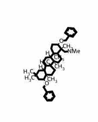 CNC[C@@]1(C)C2CC[C@]3(C)[C@H](CC=C4[C@H]5CC(C)(C)C[C@@H](OCc6ccccc6)[C@]5(C)CC[C@]43C)[C@@]2(C)CC[C@@H]1OCc1ccccc1